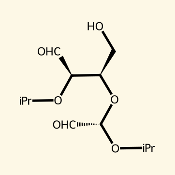 CC(C)O[C@H](C=O)O[C@H](CO)[C@H](C=O)OC(C)C